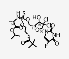 CC(C)OC(=O)[C@H](C)N[P@@](=S)(OCCSC(=O)C(C)(C)C)OC[C@H]1O[C@@H](n2cc(F)c(=O)[nH]c2=O)C(Cl)(Cl)[C@@H]1O